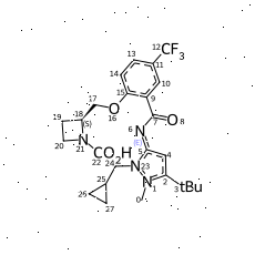 Cn1c(C(C)(C)C)c/c(=N\C(=O)c2cc(C(F)(F)F)ccc2OC[C@@H]2CCN2C(=O)O)n1CC1CC1